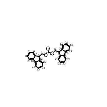 O=C(OCC1c2ccccc2-c2ccccc21)OCC1c2ccccc2-c2ccccc21